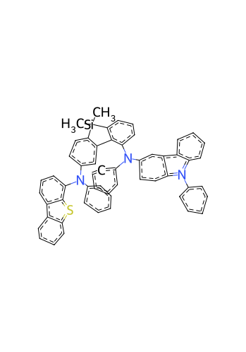 C[Si]1(C)c2ccc(N(c3ccccc3)c3cccc4c3sc3ccccc34)cc2-c2c(N(c3ccccc3)c3ccc4c(c3)c3ccccc3n4-c3ccccc3)cccc21